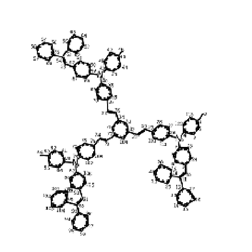 Cc1ccc(N(c2ccc(C=C(c3ccccc3)c3ccccc3)cc2)c2ccc(/C=C/c3cc(/C=C/c4ccc(N(c5ccc(C)cc5)c5ccc(C=C(c6ccccc6)c6ccccc6)cc5)cc4)cc(/C=C/c4ccc(N(c5ccc(C)cc5)c5ccc(C=C(c6ccccc6)c6ccccc6)cc5)cc4)c3)cc2)cc1